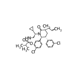 C=CC[C@@]1(C)C[C@H](c2cccc(Cl)c2)[C@@H](c2ccc(Cl)cc2)N([C@@H](CNS(=O)(=O)C(C)C)C2CC2)C1=O